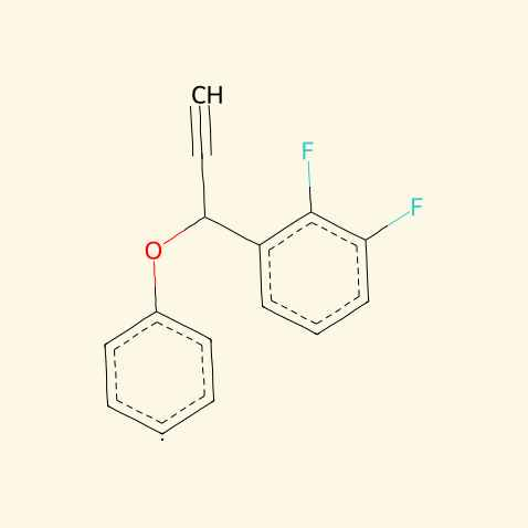 C#CC(Oc1cc[c]cc1)c1cccc(F)c1F